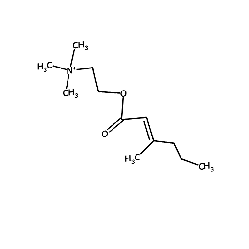 CCC/C(C)=C/C(=O)OCC[N+](C)(C)C